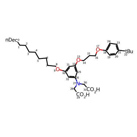 CCCCCCCCCCCCCCCCCCOc1cc(OCCCOc2ccc(C(C)(C)C)cc2)cc(N(CC(=O)O)CC(=O)O)c1